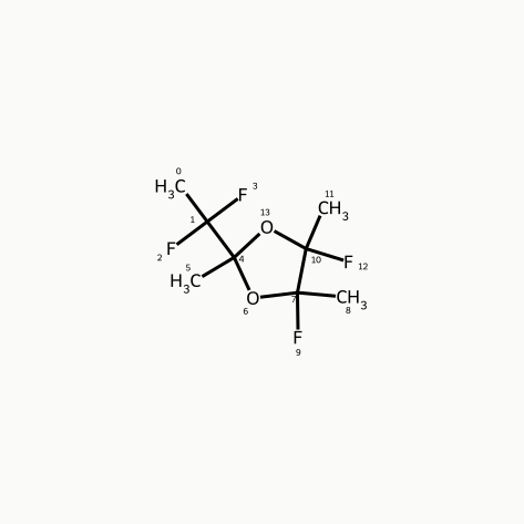 CC(F)(F)C1(C)OC(C)(F)C(C)(F)O1